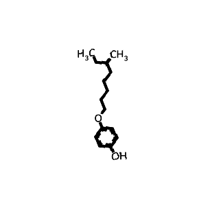 CCC(C)CCCCCOc1ccc(O)cc1